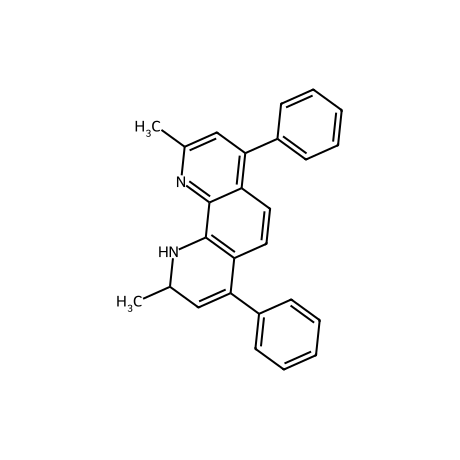 Cc1cc(-c2ccccc2)c2ccc3c(c2n1)NC(C)C=C3c1ccccc1